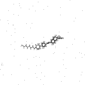 CCCCCCCC[C@H]1CC[C@H](c2ccc(C#Cc3ccc4cc(OCC)ccc4c3)cc2)CC1